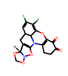 O=C1CCC2=C(OC3=C(F)C(F)=CC4CC5=C(ON6OCO[C@H]56)N2C34)C1=O